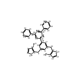 Fc1ccsc1Cc1cc(Cc2sccc2F)cc(-c2nc(-c3cccnc3)nc(-c3cccnc3)n2)c1